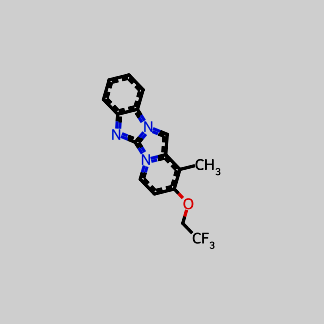 Cc1c(OCC(F)(F)F)ccn2c1cn1c3ccccc3nc21